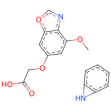 COc1cc(OCC(=O)O)cc2ocnc12.c1ccc2c(c1)N2